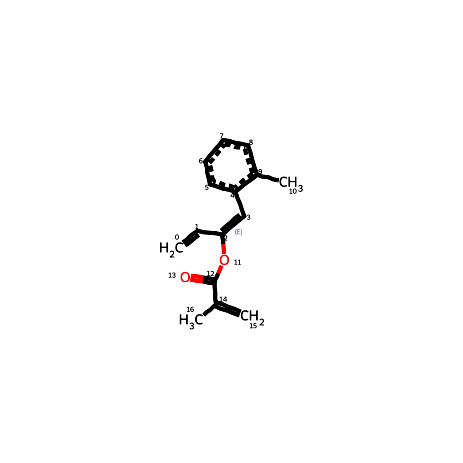 C=C/C(=C\c1ccccc1C)OC(=O)C(=C)C